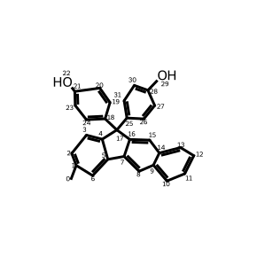 Cc1ccc2c(c1)-c1cc3ccccc3cc1C2(c1ccc(O)cc1)c1ccc(O)cc1